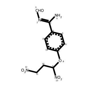 N/C(=N\C=O)c1ccc(OC(CC[N+](=O)[O-])[N+](=O)[O-])cc1